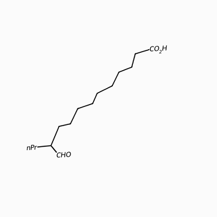 CCCC(C=O)CCCCCCCCCC(=O)O